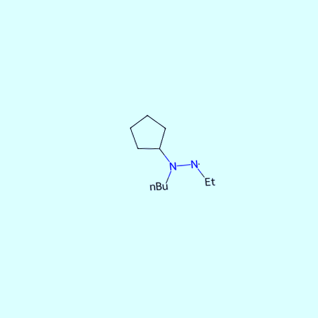 CCCCN([N]CC)C1CCCC1